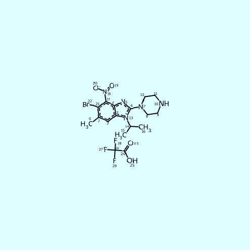 Cc1cc2c(nc(N3CCNCC3)n2C(C)C)c([N+](=O)[O-])c1Br.O=C(O)C(F)(F)F